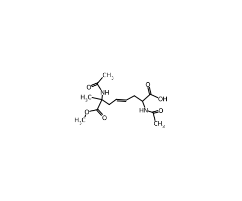 COC(=O)C(C)(CC=CCC(NC(C)=O)C(=O)O)NC(C)=O